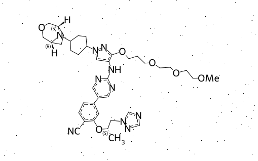 COCCOCCOCCCOc1nn(C2CCC(N3[C@@H]4CC[C@H]3COC4)CC2)cc1Nc1ncc(-c2ccc(C#N)c(O[C@@H](C)Cn3cncn3)c2)cn1